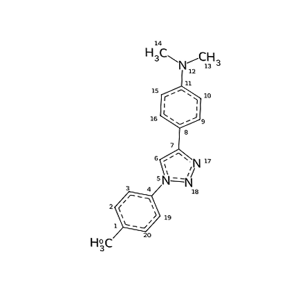 Cc1ccc(-n2cc(-c3ccc(N(C)C)cc3)nn2)cc1